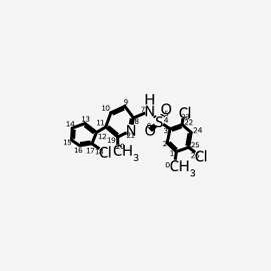 Cc1cc(S(=O)(=O)Nc2ccc(-c3ccccc3Cl)c(C)n2)c(Cl)cc1Cl